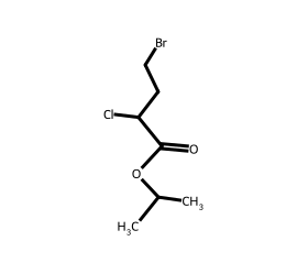 CC(C)OC(=O)C(Cl)CCBr